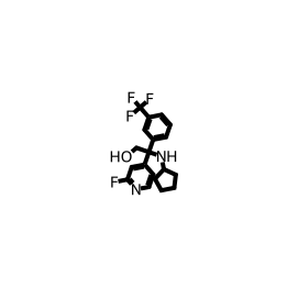 OCC(NC1CCCC1)(c1cccc(C(F)(F)F)c1)c1ccnc(F)c1